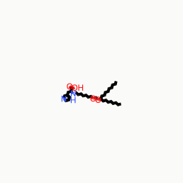 CCCCCCCCCC(CCCCCCCC)OCOCCCCCCCNC(Cc1cccnc1)C(=O)O